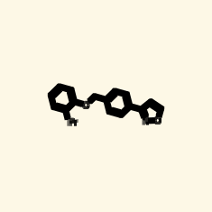 CC(C)c1ccccc1OCc1ccc(-c2ccon2)cc1